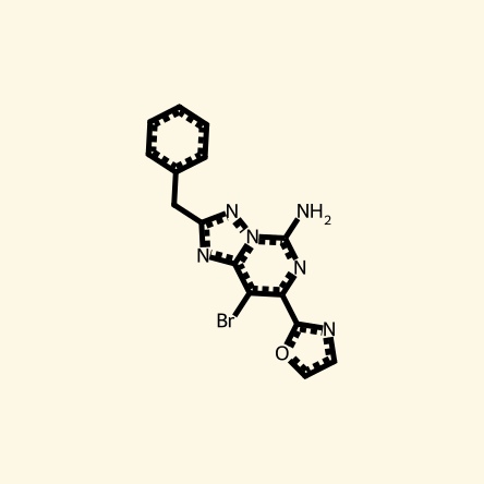 Nc1nc(-c2ncco2)c(Br)c2nc(Cc3ccccc3)nn12